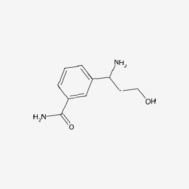 NC(=O)c1cccc(C(N)CCO)c1